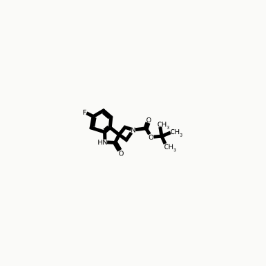 CC(C)(C)OC(=O)N1CC2(C1)C(=O)Nc1cc(F)ccc12